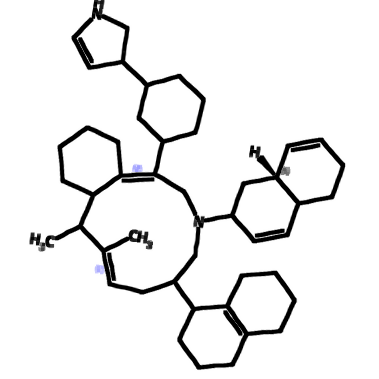 C/C1=C\CC(C2CCCC3=C2CCCC3)CN(C2C=CC3CCC=C[C@H]3C2)C/C(C2CCCC(C3C=CNC3)C2)=C2/CCCCC2C1C